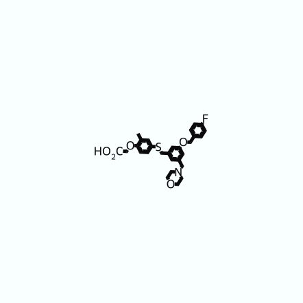 Cc1cc(SCc2cc(CN3CCOCC3)cc(OCc3ccc(F)cc3)c2)ccc1OCC(=O)O